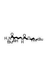 CC(C)(C)NCCOCC(=O)NCCCC(NC(C)(C)C)C(N)=O